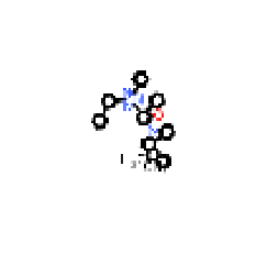 CC1(C)c2ccccc2-c2c1ccc1c2c2ccccc2n1-c1ccc(-c2nc(-c3ccccc3)nc(-c3cccc(-c4ccccc4)c3)n2)c2c1oc1ccccc12